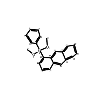 CO[Si](OC)(c1ccccc1)c1cccc2cc3ccccc3cc12